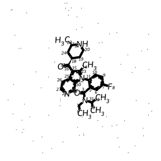 CCN(C(=O)c1cc(F)ccc1-n1c(C)c(C(=O)[C@@H]2CCN[C@@H](C)C2)c2ccncc21)C(C)C